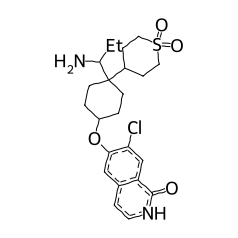 CCC(N)C1(C2CCS(=O)(=O)CC2)CCC(Oc2cc3cc[nH]c(=O)c3cc2Cl)CC1